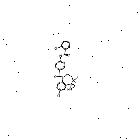 O=C(Nc1ccc(C(=O)N2CCC(F)(F)C3(CN3)c3cc(Cl)ccc32)cn1)c1ccccc1Cl